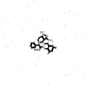 CCn1nc(C)c2c1CCN([C@@H](C(=O)NC)c1ccccc1)[C@H]2CCc1cc(F)cc(F)c1F